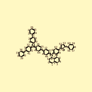 C1=Cc2ccccc2C(N(c2ccc(-c3ccc(N(c4ccc(-c5ccccc5)cc4)c4ccc(-c5ccccc5)cc4)cc3)cc2)c2ccc(-c3ccc(-c4ccccc4)s3)cc2)C1